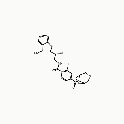 NCc1ccccc1CC[C@H](O)CNC(=O)c1ccc(C(=O)N2C3CCC2COC3)cc1F